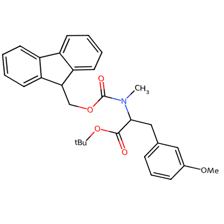 COc1cccc(CC(C(=O)OC(C)(C)C)N(C)C(=O)OCC2c3ccccc3-c3ccccc32)c1